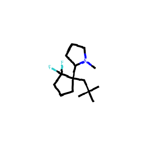 CN1CCCC1C1(CC(C)(C)C)CCCC1(F)F